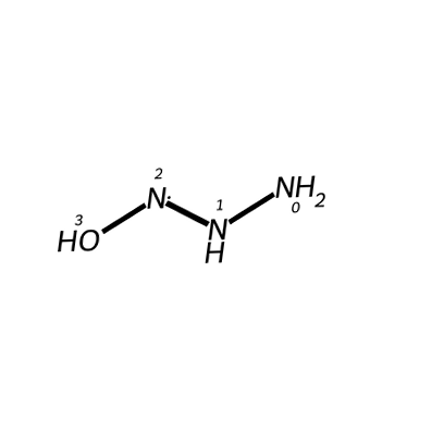 NN[N]O